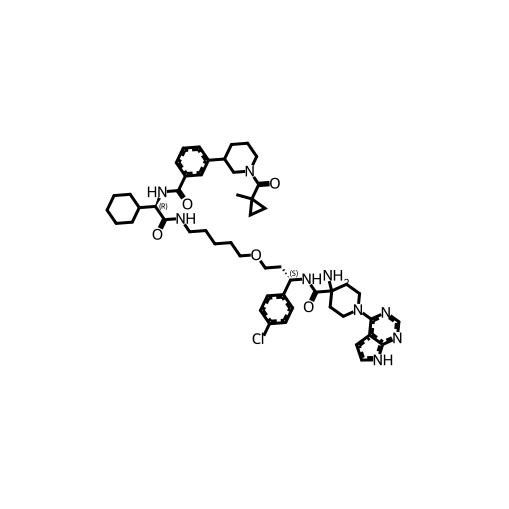 CC1(C(=O)N2CCCC(c3cccc(C(=O)N[C@@H](C(=O)NCCCCCOCC[C@H](NC(=O)C4(N)CCN(c5ncnc6[nH]ccc56)CC4)c4ccc(Cl)cc4)C4CCCCC4)c3)C2)CC1